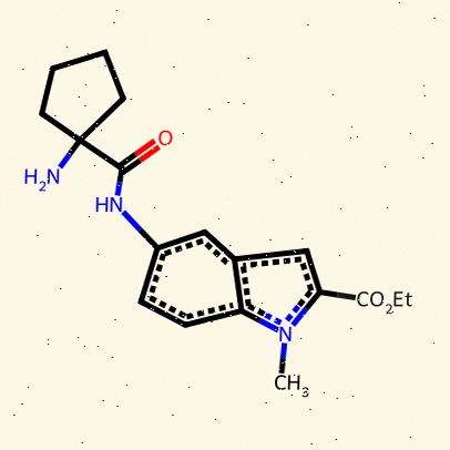 CCOC(=O)c1cc2cc(NC(=O)C3(N)CCCC3)ccc2n1C